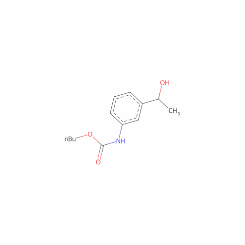 CCCCOC(=O)Nc1cccc(C(C)O)c1